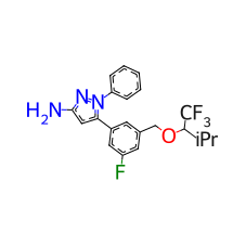 CC(C)C(OCc1cc(F)cc(-c2cc(N)nn2-c2ccccc2)c1)C(F)(F)F